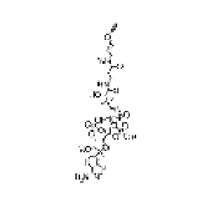 C#COSCCNC(=O)CCNC(=O)C(O)C(C)(C)COP(=O)(O)OP(=O)(O)OCC1OC(C)(n2cnc3c(N)ncnc32)C(O)C1OP(=O)(O)O